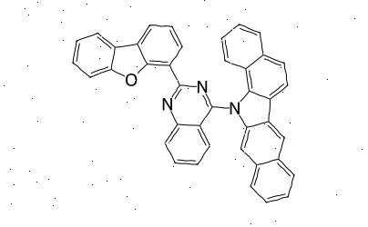 c1ccc2cc3c(cc2c1)c1ccc2ccccc2c1n3-c1nc(-c2cccc3c2oc2ccccc23)nc2ccccc12